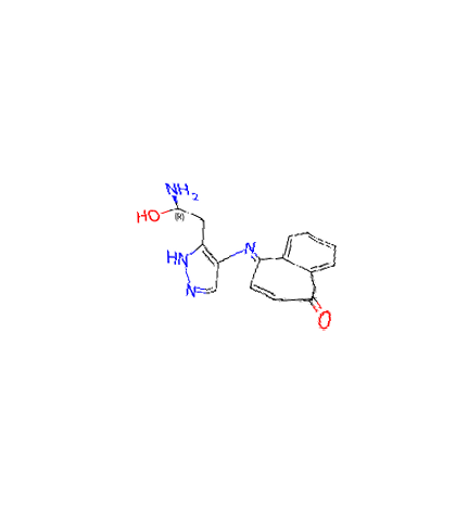 N[C@H](O)Cc1[nH]ncc1N=C1C=CC(=O)c2ccccc21